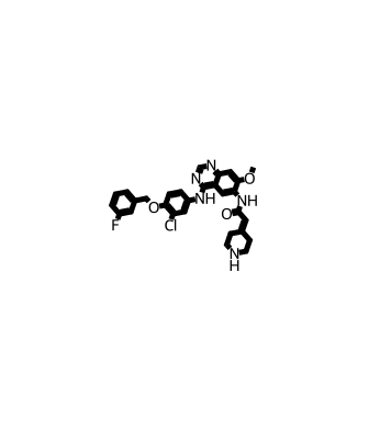 COc1cc2ncnc(Nc3ccc(OCc4cccc(F)c4)c(Cl)c3)c2cc1NC(=O)C=C1CCNCC1